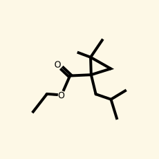 CCOC(=O)C1(CC(C)C)CC1(C)C